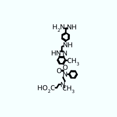 Cc1c(OC(=O)N(CCN(C)CCC(=O)O)c2ccccc2)ccc2[nH]c(CNc3ccc(C(=N)N)cc3)nc12